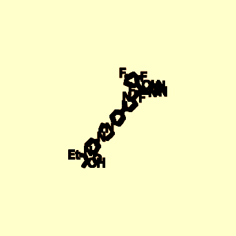 CCC(C(C)O)n1ccc(N2CCN(c3ccc(-c4ccc(C(F)(F)[C@](O)(Cn5cnnn5)c5ccc(F)cc5F)nc4)cc3)CC2)cc1=O